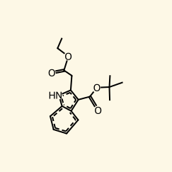 CCOC(=O)Cc1[nH]c2ccccc2c1C(=O)OC(C)(C)C